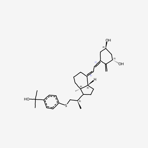 C=C1/C(=C\C=C2/CCC[C@]3(C)C([C@@H](C)CSc4ccc(C(C)(C)O)cc4)CC[C@@H]23)C[C@@H](O)C[C@@H]1O